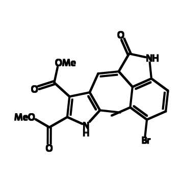 COC(=O)c1[nH]c(C)c(C=C2C(=O)Nc3ccc(Br)c(C)c32)c1C(=O)OC